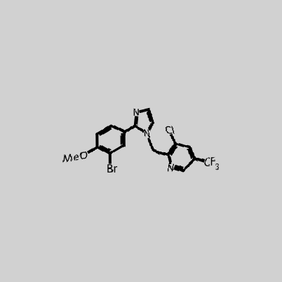 COc1ccc(-c2nccn2Cc2ncc(C(F)(F)F)cc2Cl)cc1Br